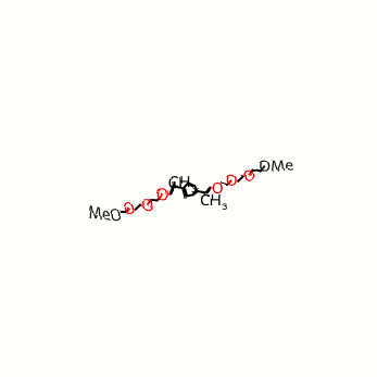 COCCOCCOCCOC=C(C)c1ccc(C(C)=COCCOCCOCCOC)cc1